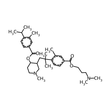 Cc1cc(C(=O)OC2CCN(C)CC2CC(C)(C)c2ccc(C(=O)OCCCN(C)C)cc2C)ccc1C(C)C